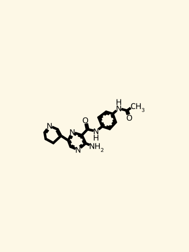 CC(=O)Nc1ccc(NC(=O)c2nc(C3=CN=CCC3)cnc2N)cc1